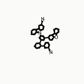 N#Cc1cccc(-c2ccccc2-c2cc(-c3ccc4oc5ccccc5c4c3)cc(-n3c4ccccc4c4cc(C#N)ccc43)c2)c1